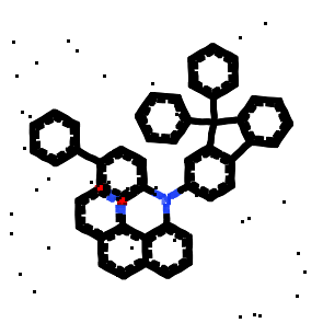 c1ccc(-c2ccc(N(c3ccc4c(c3)C(c3ccccc3)(c3ccccc3)c3ccccc3-4)c3cccc4ccc5cccnc5c34)cc2)cc1